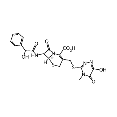 Cn1c(SCC2=C(C(=O)O)N3C(=O)C(NC(=O)C(O)c4ccccc4)[C@@H]3SC2)nnc(O)c1=O